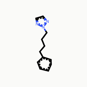 c1ccc(CCCCn2nccn2)cc1